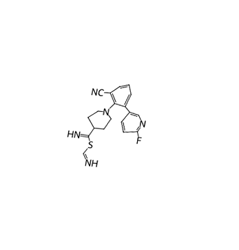 N#Cc1cccc(-c2ccc(F)nc2)c1N1CCC(C(=N)SC=N)CC1